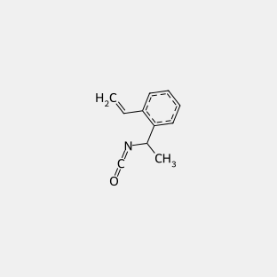 C=Cc1ccccc1C(C)N=C=O